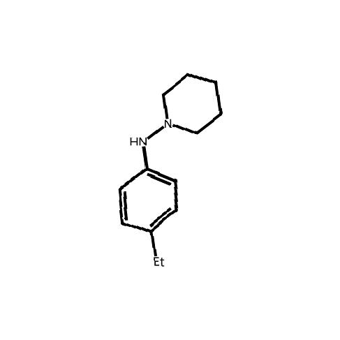 CCc1ccc(NN2CCCCC2)cc1